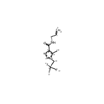 C=CCNC(=O)c1nnn(CC(F)(F)F)c1I